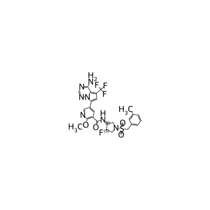 COc1ncc(-c2cc(C(F)(F)F)c3c(N)ncnn23)cc1C(=O)N[C@@H]1CN(S(=O)(=O)Cc2cccc(C)c2)C[C@@H]1F